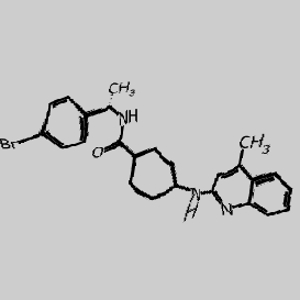 Cc1cc(NC2CCC(C(=O)N[C@@H](C)c3ccc(Br)cc3)CC2)nc2ccccc12